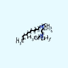 CC/C=C\CCCCCCCCN(CC)C(C)CCN(C)CCC